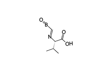 CC(C)[C@H](/N=C/B=O)C(=O)O